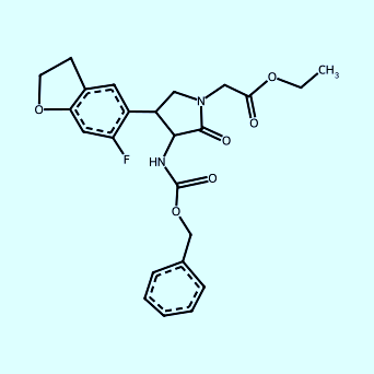 CCOC(=O)CN1CC(c2cc3c(cc2F)OCC3)C(NC(=O)OCc2ccccc2)C1=O